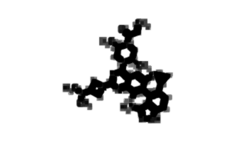 C=CC(=O)N1C[C@H](C)N(c2nc(N3CC(N(C)C)C3)nc3c(F)c(-c4c(C5CC5)ccc5[nH]nc(N)c45)c(Cl)cc23)C[C@H]1C